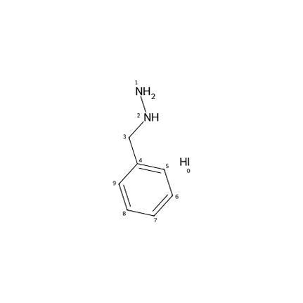 I.NNCc1ccccc1